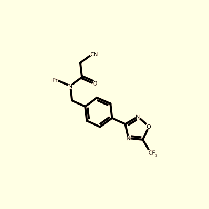 CC(C)N(Cc1ccc(-c2noc(C(F)(F)F)n2)cc1)C(=O)CC#N